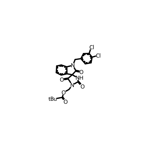 CC(C)(C)C(=O)OCN1C(=O)NC2(C1=O)C(=O)N(Cc1ccc(Cl)c(Cl)c1)c1ccccc12